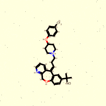 CC(C)(N=O)c1ccc2c(c1)/C(=C/CCN1CCC(Oc3ccc(C(F)(F)F)cc3)CC1)c1cccnc1CO2